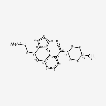 CNCCC(Oc1cccc(C(=O)N2CCN(C)CC2)c1)c1cccs1